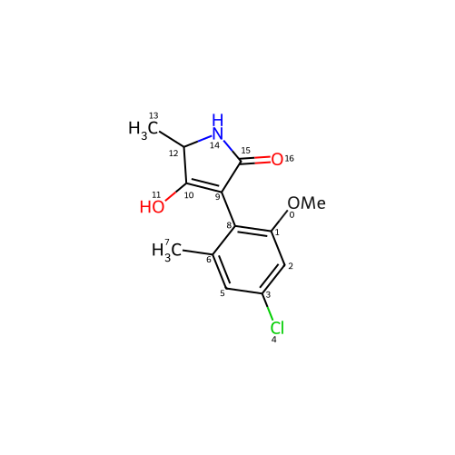 COc1cc(Cl)cc(C)c1C1=C(O)C(C)NC1=O